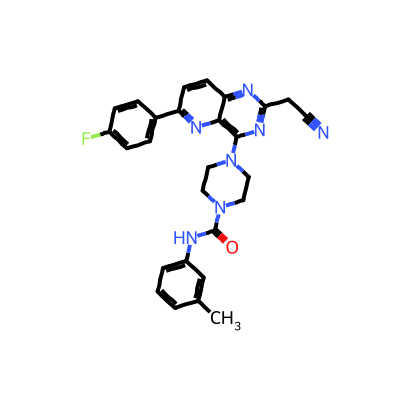 Cc1cccc(NC(=O)N2CCN(c3nc(CC#N)nc4ccc(-c5ccc(F)cc5)nc34)CC2)c1